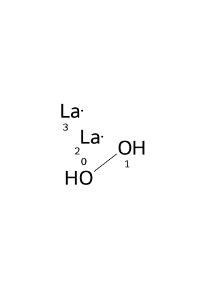 OO.[La].[La]